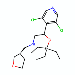 CC[Si](CC)(CC)OC(CNC[C@H]1CCOC1)c1c(Cl)cncc1Cl